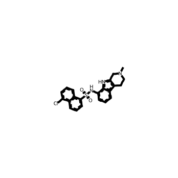 CN1CCc2c([nH]c3c(NS(=O)(=O)c4cccc5c(Cl)cccc45)cccc23)C1